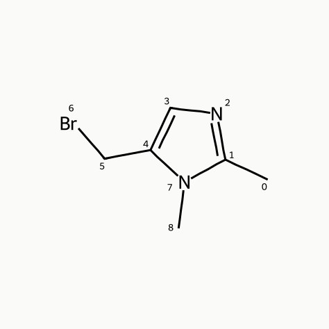 Cc1ncc(CBr)n1C